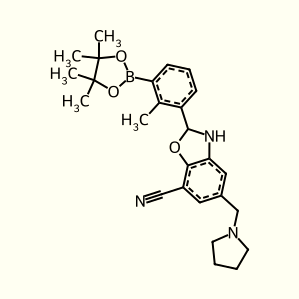 Cc1c(B2OC(C)(C)C(C)(C)O2)cccc1C1Nc2cc(CN3CCCC3)cc(C#N)c2O1